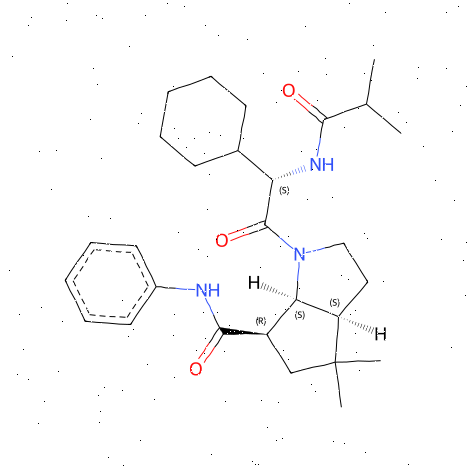 CC(C)C(=O)N[C@H](C(=O)N1CC[C@@H]2[C@H]1[C@H](C(=O)Nc1ccccc1)CC2(C)C)C1CCCCC1